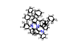 c1ccc(-c2ccc(-n3c4ccccc4c4cccc(-n5c6ccccc6c6cc([Si](c7ccccc7)(c7ccccc7)c7ccccc7)cc(-n7c8ccccc8c8ccccc87)c65)c43)cc2)cc1